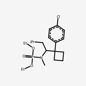 CCOP(=O)(OCC)N(C)C(CC(C)C)C1(c2ccc(Cl)cc2)CCC1